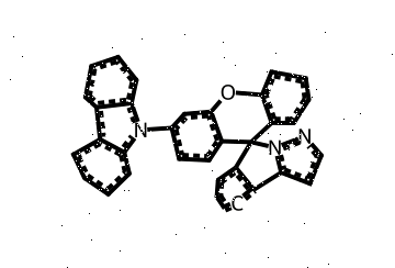 c1ccc2c(c1)Oc1cc(-n3c4ccccc4c4ccccc43)ccc1C21c2ccccc2-c2ccnn21